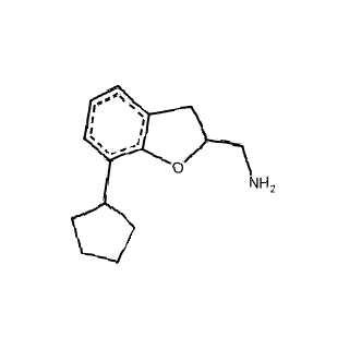 NCC1Cc2cccc(C3CCCC3)c2O1